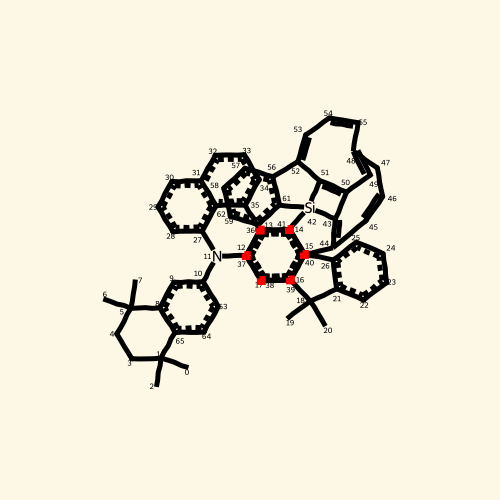 CC1(C)CCC(C)(C)c2cc(N(c3ccc4c(c3)C(C)(C)c3ccccc3-4)c3cccc4cccc(-c5cccc6c5[Si]57C8=C6/C=C\CC6=C\C8=C5C(=C/C=C\6)\c5ccccc57)c34)ccc21